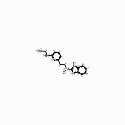 CC(C)(C)CNc1cccc(CC[S+]([O-])c2nc3ccccc3[nH]2)n1